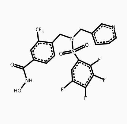 O=C(NO)c1ccc(CN(Cc2cccnc2)S(=O)(=O)c2cc(F)c(F)c(F)c2F)c(C(F)(F)F)c1